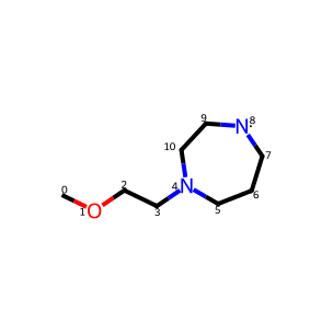 COCCN1CCC[N]CC1